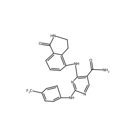 NC(=O)c1cnc(Nc2ccc(C(F)(F)F)cc2)nc1Nc1cccc2c1CCNC2=O